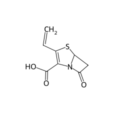 C=CC1=C(C(=O)O)N2C(=O)CC2S1